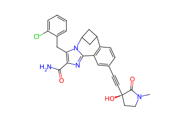 CN1CC[C@](O)(C#Cc2ccc3c(c2)-c2nc(C(N)=O)c(Cc4ccccc4Cl)n2C2CC3C2)C1=O